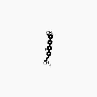 CCCCCc1ccc(-c2ccc(-c3ccc(-c4cccc(CC)c4)cc3)cc2F)cc1